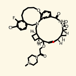 C[C@@H]1[C@@H](C)S(=O)(=O)NC(=O)c2ccc3c(c2)N(Cc2ccc(Cl)c(F)c2CCCCO3)C[C@@H]2CC[C@H]2[C@@H](OCC(=O)N2CCN(C)CC2)C2=C[C@H]1C2